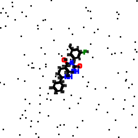 Cc1cc(F)cc(-n2c(=O)[nH]c3c(c2=O)CC[C@H](c2ccccc2)N3)c1